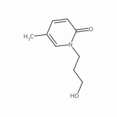 Cc1ccc(=O)n(CCCO)c1